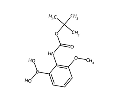 COc1cccc(B(O)O)c1NC(=O)OC(C)(C)C